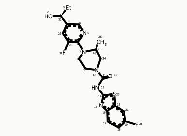 CC[C@H](O)c1cnc(N2CCN(C(=O)Nc3nc4ccc(F)cc4s3)C[C@@H]2C)c(F)c1